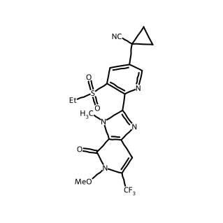 CCS(=O)(=O)c1cc(C2(C#N)CC2)cnc1-c1nc2cc(C(F)(F)F)n(OC)c(=O)c2n1C